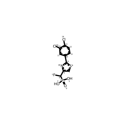 O=P(O)(O)C(F)c1csc(-c2ccc(Cl)c(Cl)c2)n1